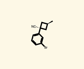 C[C@H]1C[C@@](C#N)(c2cccc(Br)c2)C1